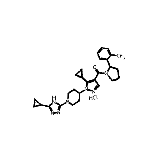 Cl.O=C(c1cnn(C2CCN(c3nnc(C4CC4)[nH]3)CC2)c1C1CC1)N1CCCC1c1ccccc1C(F)(F)F